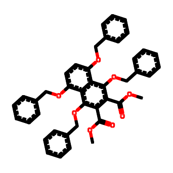 COC(=O)c1c(C(=O)OC)c(OCc2ccccc2)c2c(OCc3ccccc3)ccc(OCc3ccccc3)c2c1OCc1ccccc1